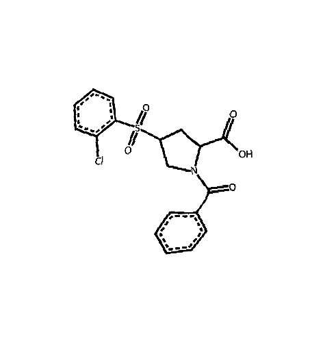 O=C(O)C1CC(S(=O)(=O)c2ccccc2Cl)CN1C(=O)c1ccccc1